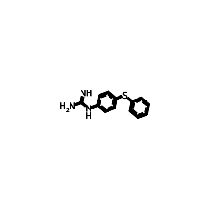 N=C(N)Nc1ccc(Sc2ccccc2)cc1